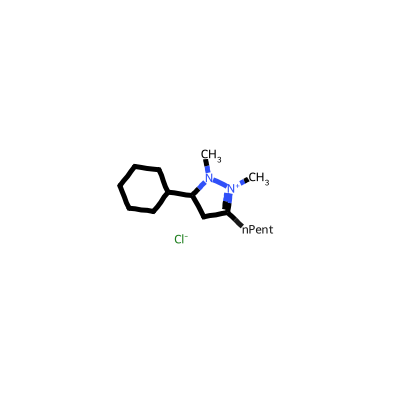 CCCCCC1=[N+](C)N(C)C(C2CCCCC2)C1.[Cl-]